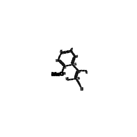 COc1ccccc1C(C)=C(C)C